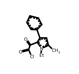 CCn1c(C)cc(-c2ccccc2)c1C(=O)C(=O)Cl